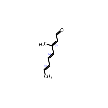 C/C=C/C=C/C(C)=C/C=O